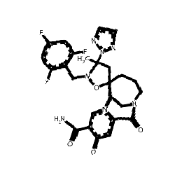 CC1(n2nccn2)CC2(CCCN3CC2n2cc(C(N)=O)c(=O)cc2C3=O)ON1Cc1c(F)cc(F)cc1F